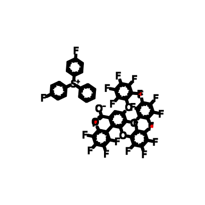 Fc1ccc([S+](c2ccccc2)c2ccc(F)cc2)cc1.O=C([O-])c1cc(Oc2c(F)c(F)c(F)c(F)c2F)c(Oc2c(F)c(F)c(F)c(F)c2F)c(Oc2c(F)c(F)c(F)c(F)c2F)c1-c1c(F)c(F)c(F)c(F)c1F